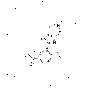 COc1ccc([S+](C)[O-])cc1-c1nc2cnccc2[nH]1